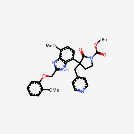 COc1ccccc1OCc1nc2c(OC)ccc(C3(Cc4ccncc4)CCN(C(=O)OC(C)(C)C)C3=O)c2[nH]1